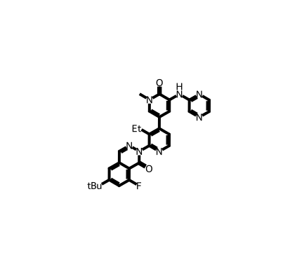 CCc1c(-c2cc(Nc3cnccn3)c(=O)n(C)c2)ccnc1-n1ncc2cc(C(C)(C)C)cc(F)c2c1=O